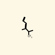 C=C/C=C(\C)C(C)C(F)(F)F